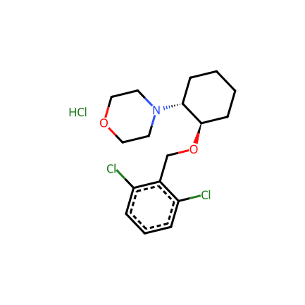 Cl.Clc1cccc(Cl)c1CO[C@@H]1CCCC[C@H]1N1CCOCC1